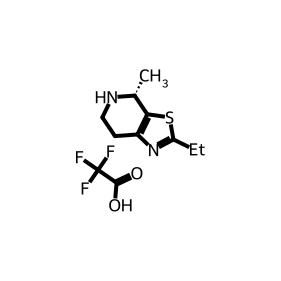 CCc1nc2c(s1)[C@@H](C)NCC2.O=C(O)C(F)(F)F